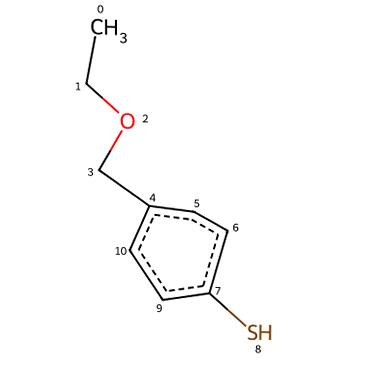 CCOCc1ccc(S)cc1